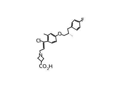 Cc1cc(OC[C@@H](C)Cc2ccc(F)cc2)ccc1C(Cl)=CCN1CC(C(=O)O)C1